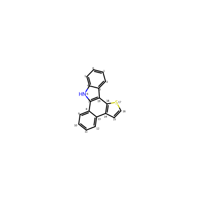 c1ccc2c(c1)[nH]c1c3ccccc3c3ccsc3c21